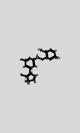 Cc1cc(OCc2cc(F)ccc2F)cc(-c2nn[nH]c2C)c1